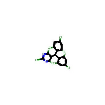 Clc1cc(Cl)c([C](c2c(Cl)cc(Cl)cc2Cl)c2c(Cl)nc(Cl)nc2Cl)c(Cl)c1